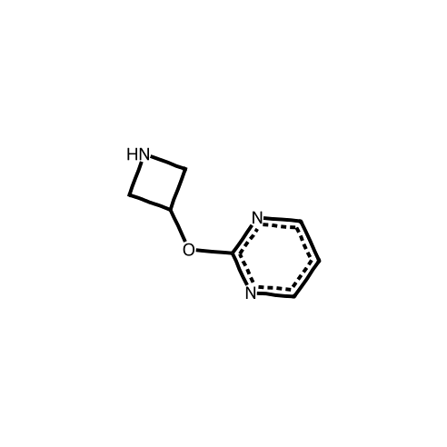 c1cnc(OC2CNC2)nc1